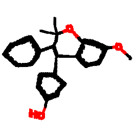 COc1ccc2c(c1)OC(C)(C)C(c1ccccc1)C2c1ccc(O)cc1